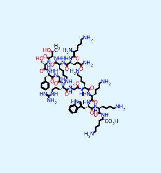 C[C@@H](O)[C@H](NC(=O)[C@H](CCCCN)NC(=O)[C@H](CCC(N)=O)NC(=O)[C@@H](N)CCCCN)C(=O)N[C@@H](CO)C(=O)N[C@@H](Cc1ccccc1)C(=O)NCC(=O)N[C@@H](CCCNC(=N)N)C(=O)NCC(=O)N[C@@H](CCCCN)C(=O)N[C@@H](CCCCN)C(=O)N[C@@H](Cc1c[nH]c2ccccc12)C(=O)N[C@@H](CCCCN)C(=O)N[C@@H](CCCCN)C(=O)O